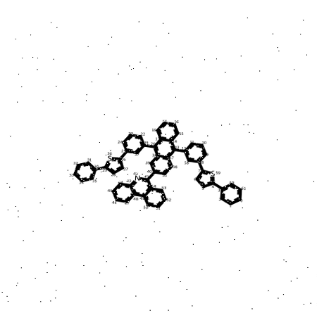 c1ccc(-c2ccc(-c3cccc(-c4c5ccccc5c(-c5cccc(-c6ccc(-c7ccccc7)s6)c5)c5cc(-c6nc7ccccc7c7ccccc67)ccc45)c3)s2)cc1